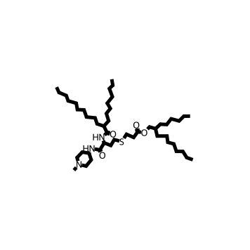 CCCCCCCCCCC(CCCCCCCC)C(=O)NC(CCSCCC(=O)OCC(CCCCCC)CCCCCCCC)C(=O)NC1CCN(C)CC1